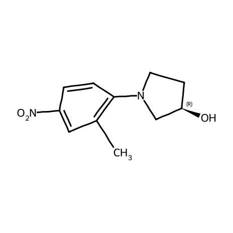 Cc1cc([N+](=O)[O-])ccc1N1CC[C@@H](O)C1